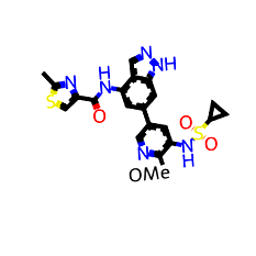 COc1ncc(-c2cc(NC(=O)c3csc(C)n3)c3cn[nH]c3c2)cc1NS(=O)(=O)C1CC1